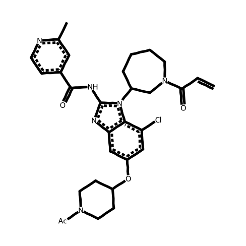 C=CC(=O)N1CCCCC(n2c(NC(=O)c3ccnc(C)c3)nc3cc(OC4CCN(C(C)=O)CC4)cc(Cl)c32)C1